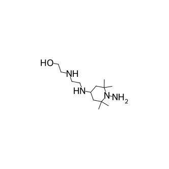 CC1(C)CC(NCCNCCO)CC(C)(C)N1N